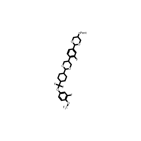 CCCCCC1COC(c2ccc(C3COC(C4CCC(C(F)(F)Oc5ccc(OC(F)(F)F)c(F)c5)CC4)OC3)c(F)c2)OC1